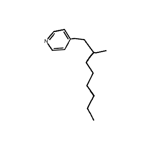 CCCCCCC(C)Cc1ccncc1